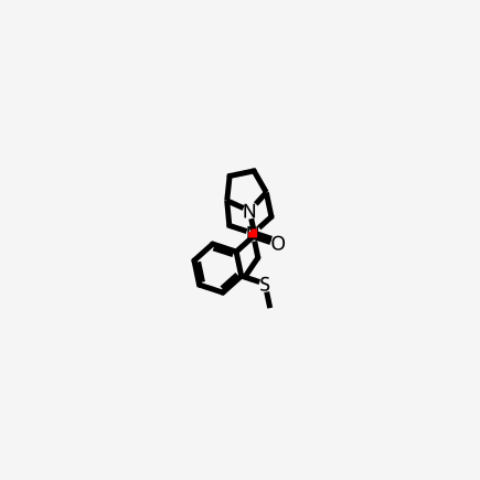 CCN1CC2CCC(C1)N2C(=O)c1ccccc1SC